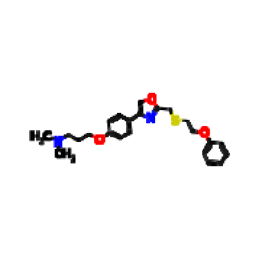 CN(C)CCCOc1ccc(-c2coc(CSCCOc3ccccc3)n2)cc1